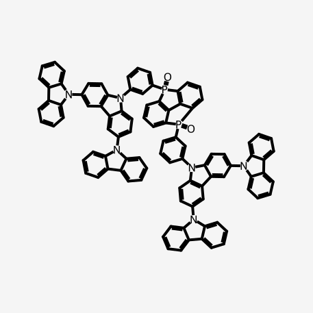 O=P1(c2cccc(-n3c4ccc(-n5c6ccccc6c6ccccc65)cc4c4cc(-n5c6ccccc6c6ccccc65)ccc43)c2)c2cccc3c2-c2c1cccc2P3(=O)c1cccc(-n2c3ccc(-n4c5ccccc5c5ccccc54)cc3c3cc(-n4c5ccccc5c5ccccc54)ccc32)c1